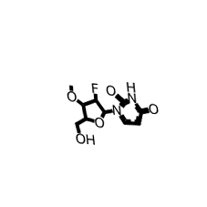 COC1C(CO)OC(n2ccc(=O)[nH]c2=O)C1F